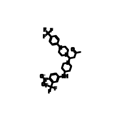 CC(=O)CC(N1CCC(Nc2ccc([N+](=O)[O-])c(C(F)(F)F)c2)CC1)N1CCN(c2ccc(C(F)(F)F)cc2)CC1